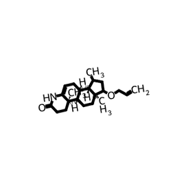 C=CCOC1CC(C)[C@H]2[C@@H]3CC=C4NC(=O)CC[C@]4(C)[C@@H]3CC[C@]12C